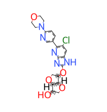 O[C@@H]1CO[C@H]2[C@@H]1OC[C@H]2Oc1nc2nc(-c3ccc(N4CCOCC4)nc3)c(Cl)cc2[nH]1